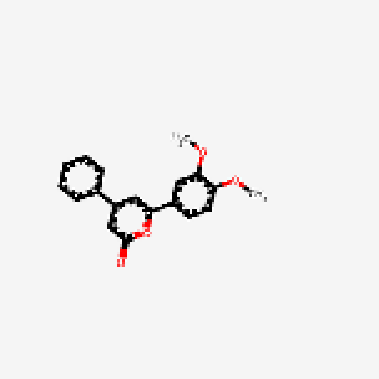 COc1ccc(-c2cc(-c3ccccc3)cc(=O)o2)cc1OC